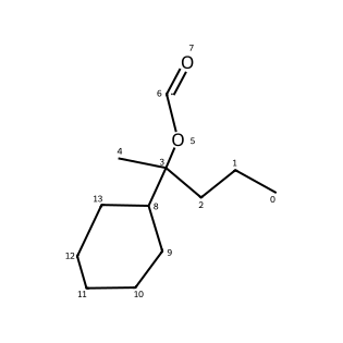 CCCC(C)(O[C]=O)C1CCCCC1